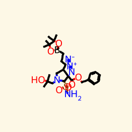 CC(C)(O)CN1CC(CCCB2OC(C)(C)C(C)(C)O2)C(N=[N+]=[N-])(C(=O)OCc2ccccc2)C1S(N)(=O)=O